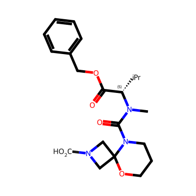 CC(C)[C@@H](C(=O)OCc1ccccc1)N(C)C(=O)N1CCCOC12CN(C(=O)O)C2